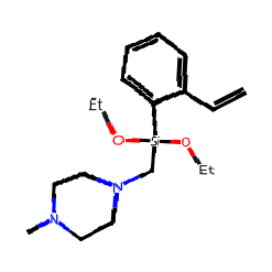 C=Cc1ccccc1[Si](CN1CCN(C)CC1)(OCC)OCC